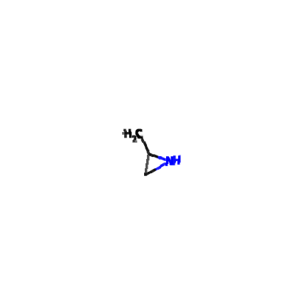 [CH2]C1CN1